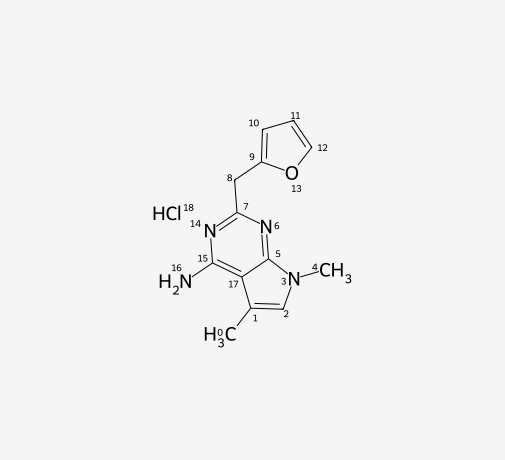 Cc1cn(C)c2nc(Cc3ccco3)nc(N)c12.Cl